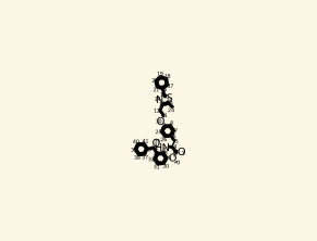 COC(=O)[C@H](Cc1ccc(OCCc2nc(-c3ccccc3)sc2C)cc1)Nc1ccccc1C(=O)c1ccccc1